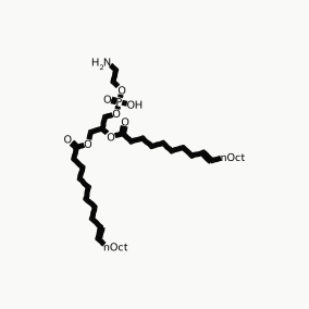 CCCCCCCCC=CCCCCCCCC(=O)OCC(COP(=O)(O)OCCN)OC(=O)CCCCCCCC=CCCCCCCCC